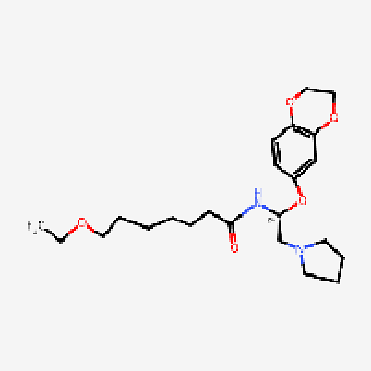 O=C(CCCCCCOCC(F)(F)F)N[C@H](CN1CCCC1)Oc1ccc2c(c1)OCCO2